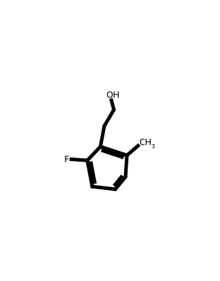 Cc1cccc(F)c1CCO